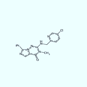 CC(C)c1ncc2c(=O)n(C)c(NCc3ccc(Cl)cn3)nn12